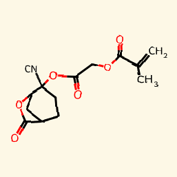 [C-]#[N+]C1(OC(=O)COC(=O)C(=C)C)CCC2CC1OC2=O